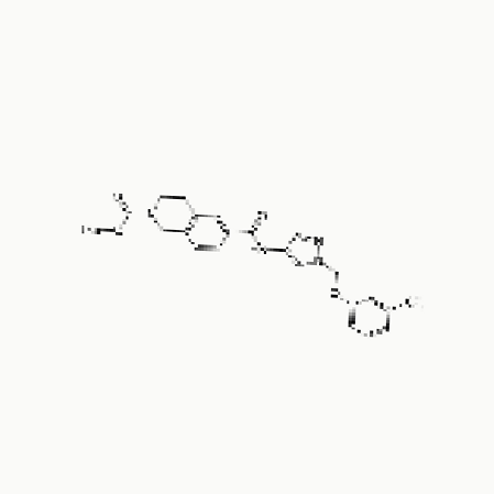 CC(C)(C)OC(=O)N1CCc2cc(C(=O)Nc3cnn(COc4cccc(C(F)(F)F)c4)c3)ccc2C1